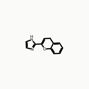 C1=C(c2ncc[nH]2)Oc2ccccc2C1